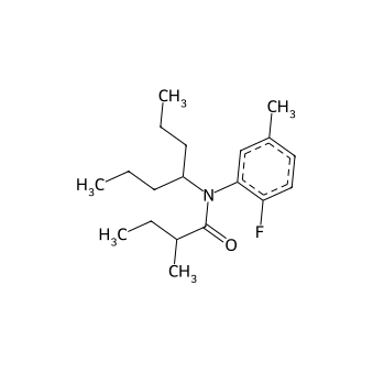 CCCC(CCC)N(C(=O)C(C)CC)c1cc(C)ccc1F